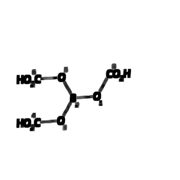 O=C(O)OB(OC(=O)O)OC(=O)O